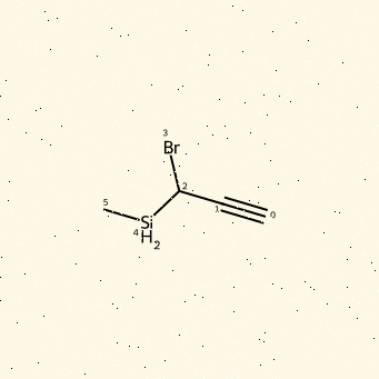 C#CC(Br)[SiH2]C